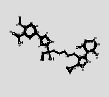 C=CC(O)(CCCOCc1c(-c2c(Cl)cncc2Cl)noc1C1CC1)c1nc(-c2ccc(OC)c(C(=O)O)c2)no1